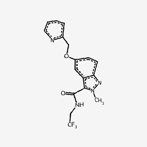 Cn1nc2ccc(OCc3ccccn3)cc2c1C(=O)NCC(F)(F)F